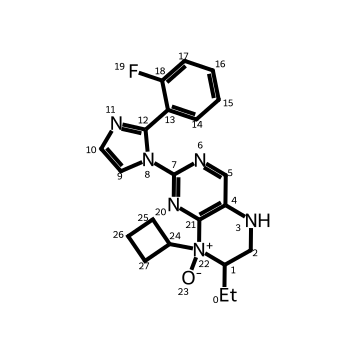 CCC1CNc2cnc(-n3ccnc3-c3ccccc3F)nc2[N+]1([O-])C1CCC1